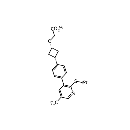 CC(C)Sc1ncc(C(F)(F)F)cc1-c1ccc([C@H]2C[C@@H](OCC(=O)O)C2)cc1